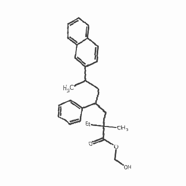 CCC(C)(CC(CC(C)c1ccc2ccccc2c1)c1ccccc1)C(=O)OCO